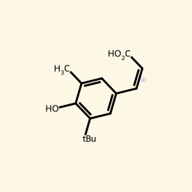 Cc1cc(/C=C\C(=O)O)cc(C(C)(C)C)c1O